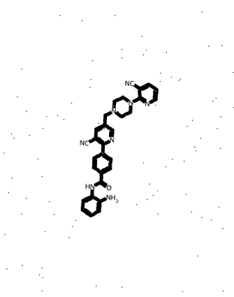 N#Cc1cc(CN2CCN(c3ncccc3C#N)CC2)cnc1-c1ccc(C(=O)Nc2ccccc2N)cc1